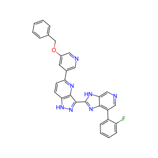 Fc1ccccc1-c1cncc2[nH]c(-c3n[nH]c4ccc(-c5cncc(OCc6ccccc6)c5)nc34)nc12